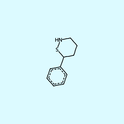 c1ccc(C2CCCNS2)cc1